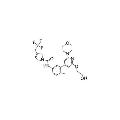 Cc1ccc(NC(=O)N2CC=C(CC(F)(F)F)C2)cc1-c1cc(OCCO)nc(N2CCOCC2)c1